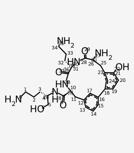 NCCC[C@@H](CO)NC(=O)[C@@H]1Cc2cccc(c2)-c2ccc(O)c(c2)C[C@H](N)C(=O)N[C@@H](CCCN)C(=O)N1